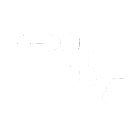 CCP(=O)(CC)c1ccc(Nc2nccc3nc(-c4ccco4)nn23)c(OC)c1